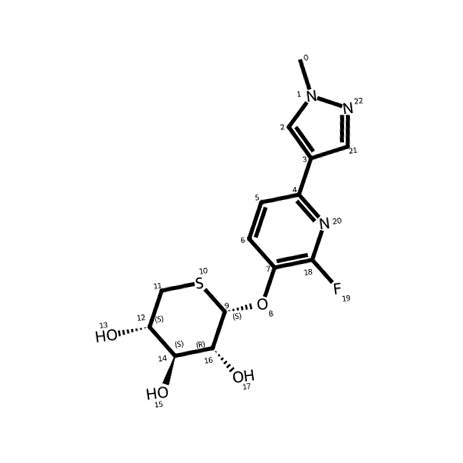 Cn1cc(-c2ccc(O[C@H]3SC[C@@H](O)[C@H](O)[C@H]3O)c(F)n2)cn1